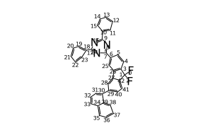 FC1(F)c2ccc(-c3nc(-c4ccccc4)nc(-c4ccccc4)n3)cc2-c2cc(-c3cccc4ccccc34)ccc21